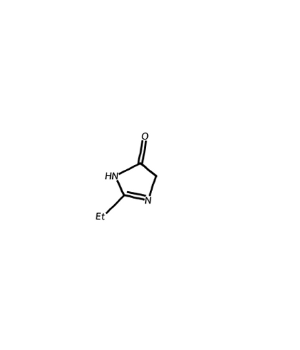 CCC1=NCC(=O)N1